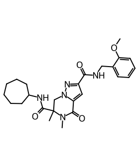 COc1ccccc1CNC(=O)c1cc2n(n1)CC(C)(C(=O)NC1CCCCCC1)N(C)C2=O